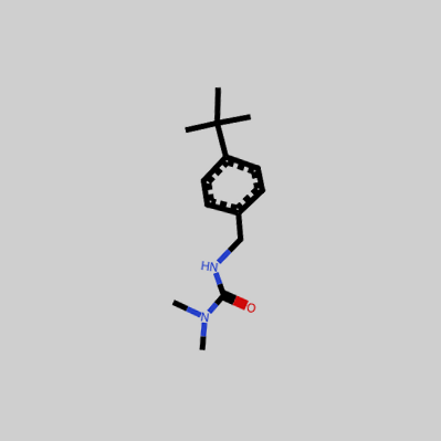 CN(C)C(=O)NCc1ccc(C(C)(C)C)cc1